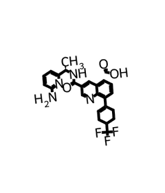 C[C@H](NC(=O)c1cnc2c(C3=CCC(C(F)(F)F)CC3)cccc2c1)c1cccc(N)n1.O=CO